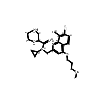 COCCCOc1cc(CN(C(=O)C2CNCCO2)C2CC2)nc2c(Cl)c(Cl)ccc12